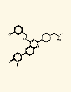 C[C@H](O)CN1CCN(c2nc(NCc3cccc(Cl)c3)c3cc(-c4ccc(=O)n(C)c4)ccc3n2)CC1